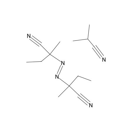 CC(C)C#N.CCC(C)(C#N)/N=N/C(C)(C#N)CC